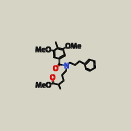 COC(=O)C(C)CCCN(CCCc1ccccc1)C(=O)c1cc(OC)c(C)c(OC)c1